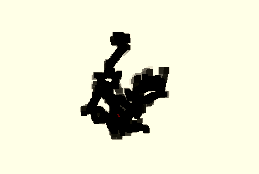 CC(C)CCN1CCN(C2(CC(C)(C(N)=O)c3ccccn3)CCOC(C)(C)C2)CC1